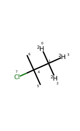 [2H]C([2H])([2H])C(C)(C)Cl